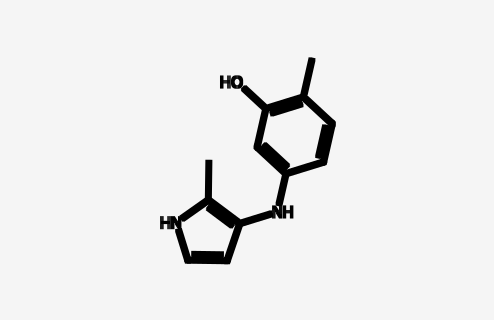 Cc1ccc(Nc2cc[nH]c2C)cc1O